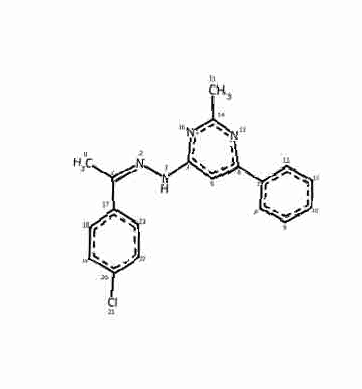 CC(=NNc1cc(-c2ccccc2)nc(C)n1)c1ccc(Cl)cc1